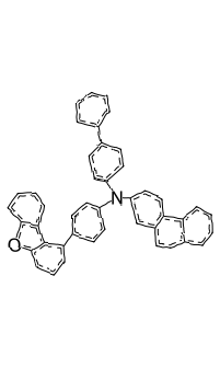 c1ccc(-c2ccc(N(c3ccc(-c4cccc5oc6ccccc6c45)cc3)c3ccc4c(ccc5ccccc54)c3)cc2)cc1